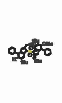 CCc1c(C(C)(C)C)cc2c(c1-c1ccccc1)C=C(CC(C)(C)C)C2S(C)(C)C1C(CC(C)(C)C)=Cc2c1cc(C(C)(C)C)c(OC)c2-c1ccccc1